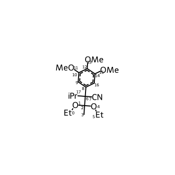 CCOC(C)(OCC)C(C#N)(c1cc(OC)c(OC)c(OC)c1)C(C)C